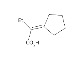 CCC(C(=O)O)=C1CCCC1